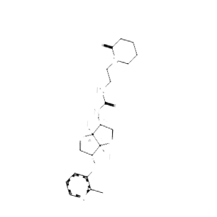 Cc1ncccc1O[C@H]1CO[C@H]2[C@@H]1OC[C@@H]2NC(=O)NCCN1CCCCC1=O